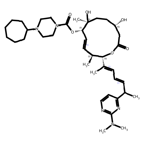 C/C(=C\C=C\C(C)c1ccnc(N(C)C)n1)[C@H]1OC(=O)C[C@@H](O)CC[C@](C)(O)[C@@H](OC(=O)N2CCN(C3CCCCCC3)CC2)/C=C/[C@@H]1C